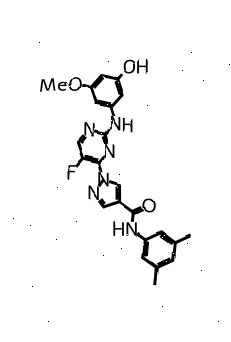 COc1cc(O)cc(Nc2ncc(F)c(-n3cc(C(=O)Nc4cc(C)cc(C)c4)cn3)n2)c1